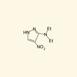 CCN(CC)c1n[nH]cc1[N+](=O)[O-]